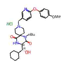 CCCCN1C(=O)[C@@H]([C@H](O)C2CCCCC2)NC(=O)C12CCN(Cc1ccc(Oc3ccc(OC)cc3)nc1)CC2.Cl